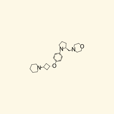 c1cc(N2CCC[C@H]2CN2CCOCC2)ccc1O[C@H]1C[C@H](N2CCCCC2)C1